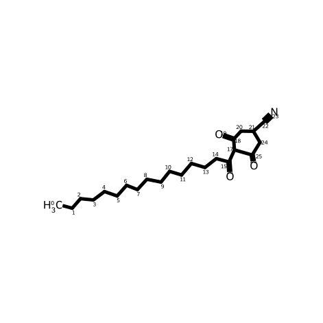 CCCCCCCCCCCCCCCC(=O)C1C(=O)CC(C#N)CC1=O